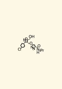 CC(C)NC(=O)c1cc(OCc2c(-c3ccc(Cl)cc3)noc2CO)nn1C